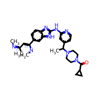 C=N/C(=C\C(C)=N/C)c1ccc2nc(Nc3cc(C(C)N4CCN(C(=O)C5CC5)CC4)ccn3)[nH]c2c1